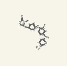 CN1C(=O)OC[C@@H]1Cc1ccc(Oc2ccc(Nc3ccc(C(F)(F)F)cn3)cc2F)cc1